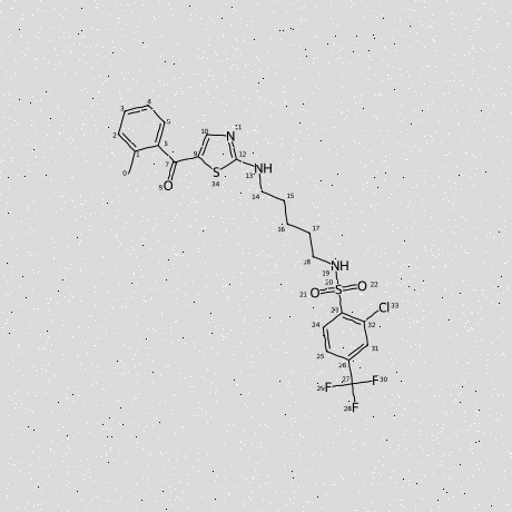 Cc1ccccc1C(=O)c1cnc(NCCCCCNS(=O)(=O)c2ccc(C(F)(F)F)cc2Cl)s1